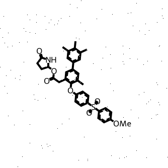 COc1ccc(S(=O)(=O)c2ccc(Oc3c(C)cc(-c4cc(C)c(C)c(C)c4)cc3CC(=O)OC3CCC(=O)N3)cc2)cc1